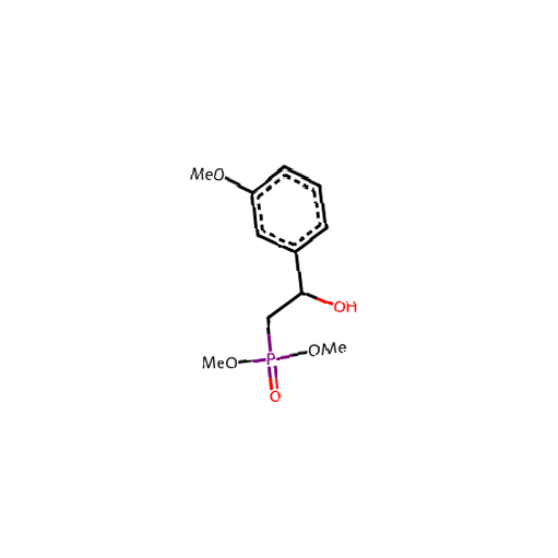 COc1cccc(C(O)CP(=O)(OC)OC)c1